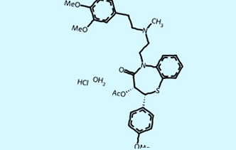 COc1ccc([C@H]2Sc3ccccc3N(CCN(C)CCc3ccc(OC)c(OC)c3)C(=O)[C@H]2OC(C)=O)cc1.Cl.O